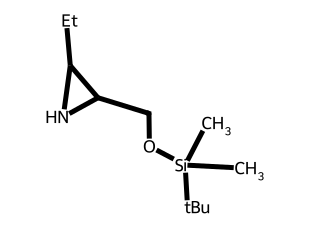 CCC1NC1CO[Si](C)(C)C(C)(C)C